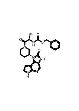 CC(C)[C@@H](NC(=O)OCc1ccccc1)C(=O)N1CCC[C@@H](n2c(=O)[nH]c3cnc4[nH]ccc4c32)C1